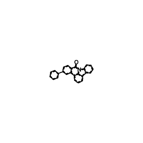 O=c1c2ccc(-c3ccccc3)cc2c2cccc3c4ccccc4n1c23